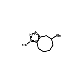 CC(C)(C)C1CCCCc2c(nnn2C(C)(C)C)C1